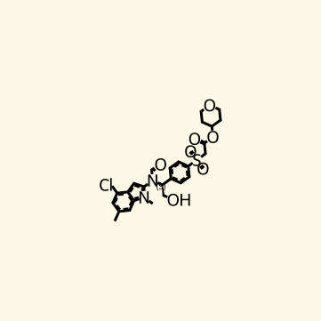 Cc1cc(Cl)c2cc(N(C=O)[C@H](CO)c3ccc(S(=O)(=O)CC(=O)OC4CCOCC4)cc3)n(C)c2c1